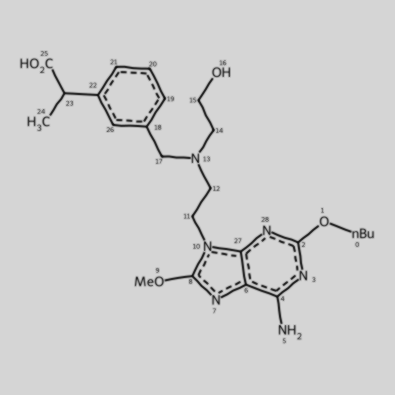 CCCCOc1nc(N)c2nc(OC)n(CCN(CCO)Cc3cccc(C(C)C(=O)O)c3)c2n1